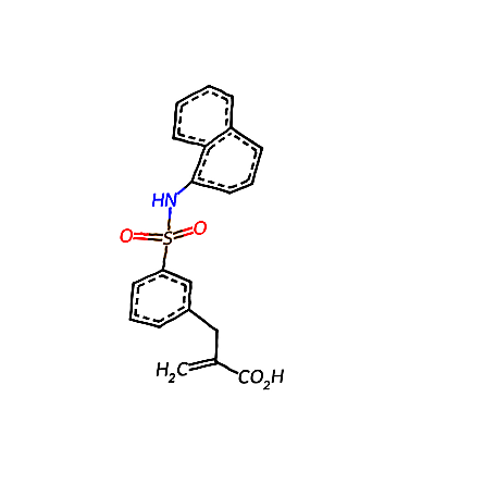 C=C(Cc1cccc(S(=O)(=O)Nc2cccc3ccccc23)c1)C(=O)O